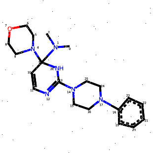 CN(C)C1(N2CCOCC2)C=CN=C(N2CCN(c3ccccc3)CC2)N1